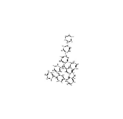 c1ccc(-c2ccc(-c3ccc(N(c4ccccc4)c4cc5c(oc6cccc(-c7ccc(-c8ccccc8)cc7)c65)c5ccccc45)cc3)cc2)cc1